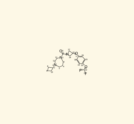 O=C(N1CCCN(C2CCC2)CC1)N1CC(Oc2ccc(OC(F)F)cc2)C1